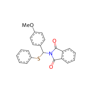 COc1ccc(C(Sc2ccccc2)N2C(=O)c3ccccc3C2=O)cc1